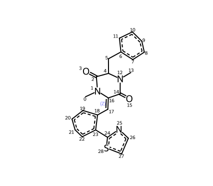 CN1C(=O)C(Cc2ccccc2)N(C)C(=O)/C1=C/c1ccccc1-c1nccs1